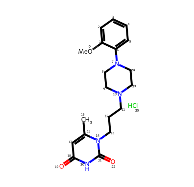 COc1ccccc1N1CCN(CCCn2c(C)cc(=O)[nH]c2=O)CC1.Cl